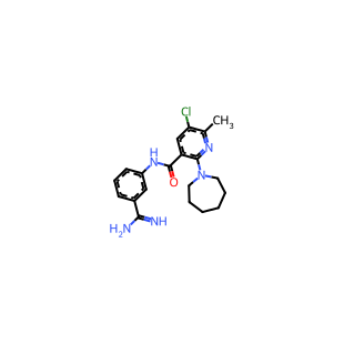 Cc1nc(N2CCCCCC2)c(C(=O)Nc2cccc(C(=N)N)c2)cc1Cl